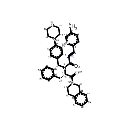 Cc1ccc(/C=C/C(=O)N(Cc2ccc(N3CCOCC3)cc2)[C@@H](Cc2ccccc2)C(=O)N2CCc3ccccc3C2)nc1